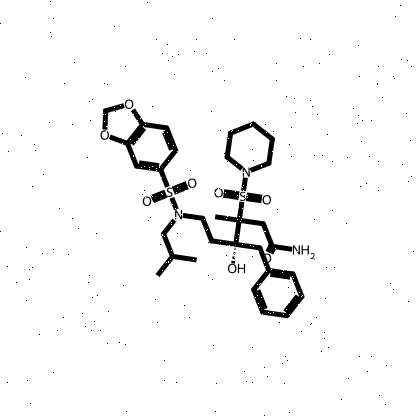 CC(C)CN(CC[C@](O)(Cc1ccccc1)C(C)(CC(N)=O)S(=O)(=O)N1CCCCC1)S(=O)(=O)c1ccc2c(c1)OCO2